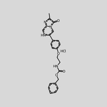 Cc1nc2c[nH]c(-c3ccc(OCCNC(=O)OCc4ccccc4)cc3)cn-2c1=O.Cl